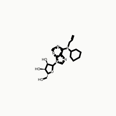 C=CCN(c1ncnc2c1ncn2C1O[C@H](CO)[C@@H](O)[C@H]1O)C1CCCCC1